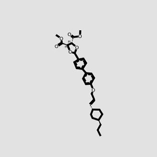 CCC[C@H]1CC[C@H](C=CCOc2ccc(-c3ccc(C4O[C@@H](C(=O)OC)[C@H](C(=O)OC)O4)cc3)cc2)CC1